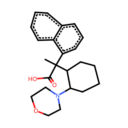 CC(C(=O)O)(c1cccc2ccccc12)C1CCCCC1N1CCOCC1